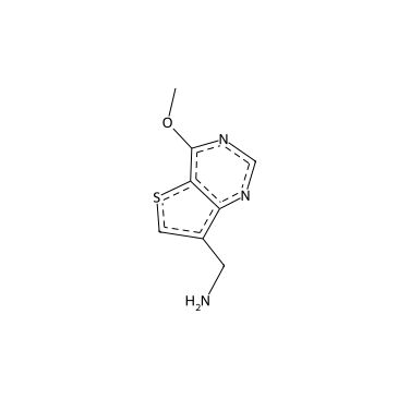 COc1ncnc2c(CN)csc12